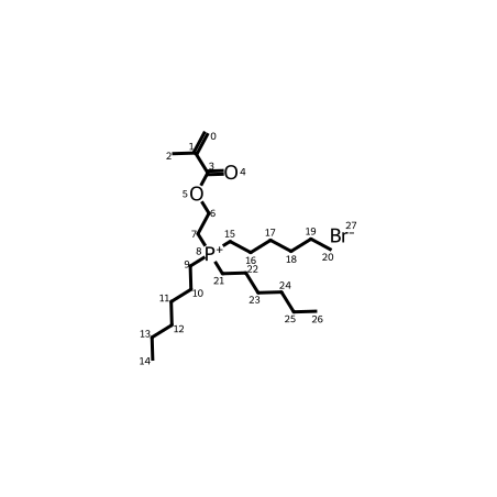 C=C(C)C(=O)OCC[P+](CCCCCC)(CCCCCC)CCCCCC.[Br-]